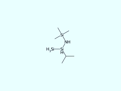 CC(C)[SiH]([SiH3])N[Si](C)(C)C